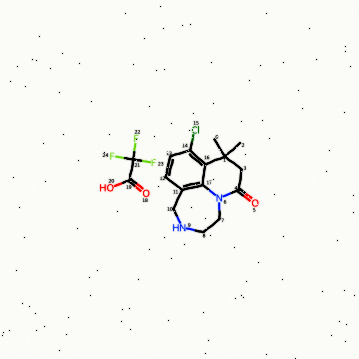 CC1(C)CC(=O)N2CCNCc3ccc(Cl)c1c32.O=C(O)C(F)(F)F